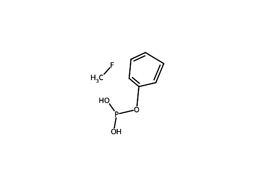 CF.OP(O)Oc1ccccc1